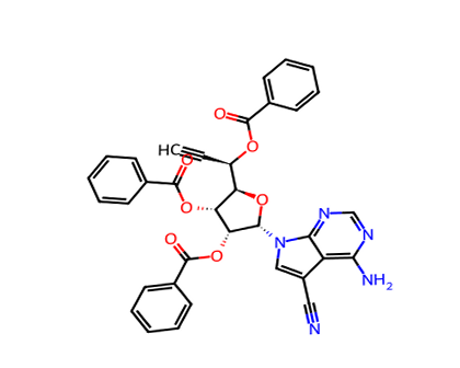 C#C[C@@H](OC(=O)c1ccccc1)[C@H]1O[C@H](n2cc(C#N)c3c(N)ncnc32)[C@H](OC(=O)c2ccccc2)[C@@H]1OC(=O)c1ccccc1